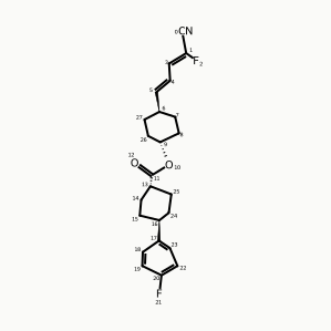 N#CC(F)=CC=C[C@H]1CC[C@H](OC(=O)[C@H]2CC[C@H](c3ccc(F)cc3)CC2)CC1